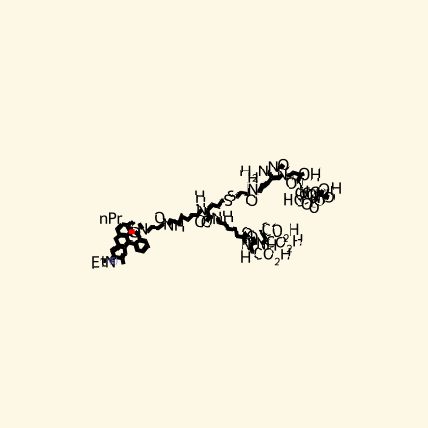 CCCc1cc2c(cc1C)C(c1ccccc1C(=O)N(C)CCCC(=O)NCCCCCC(=O)NC(CCCSSCCC(=O)NCC#Cc1cn([C@H]3CC(O)[C@@H](COP(=O)(O)OP(=O)(O)OP(=O)(O)O)O3)c(=O)nc1N)C(=O)NCCCCCC(=O)NC(CC(=O)O)C(=O)NC(CC(=O)O)C(=O)O)C1C=C(C)/C(=N/CC)C=C1C2